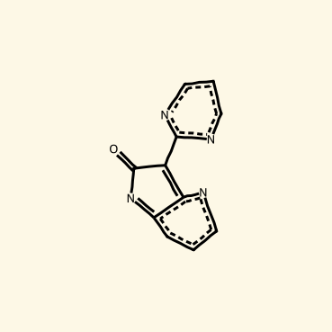 O=C1N=c2cccnc2=C1c1ncccn1